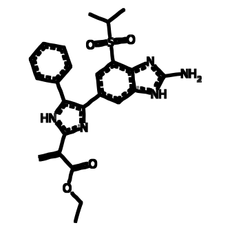 C=C(C(=O)OCC)c1nc(-c2cc(S(=O)(=O)C(C)C)c3nc(N)[nH]c3c2)c(-c2ccccc2)[nH]1